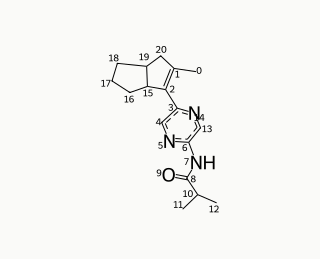 CC1=C(c2cnc(NC(=O)C(C)C)cn2)C2CCCC2C1